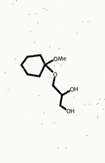 COC1(OCC(O)CO)CCCCC1